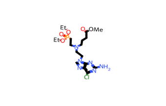 CCOP(=O)(CCN(CCCC(=O)OC)CCn1cnc2c(Cl)nc(N)nc21)OCC